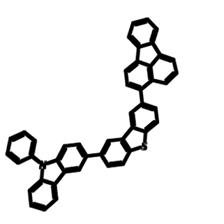 c1ccc(-n2c3ccccc3c3cc(-c4ccc5sc6ccc(-c7ccc8c9c(cccc79)-c7ccccc7-8)cc6c5c4)ccc32)cc1